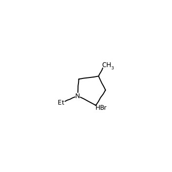 Br.CCN1CCC(C)C1